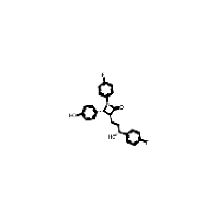 O=C1[C@@H](CC[C@@H](O)c2ccc(F)cc2)[C@H](c2ccc(O)cc2)N1c1ccc(F)cc1